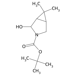 CC(C)(C)OC(=O)N1CC2C(C1O)C2(C)C